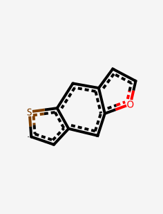 [c]1cc2cc3occc3cc2s1